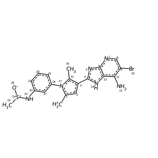 Cc1cc(-c2nc3ncc(Br)c(N)c3[nH]2)c(C)n1-c1cccc(N[S+](C)[O-])c1